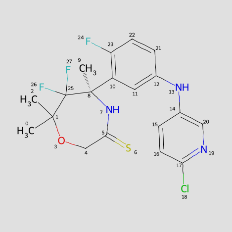 CC1(C)OCC(=S)N[C@](C)(c2cc(Nc3ccc(Cl)nc3)ccc2F)C1(F)F